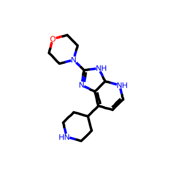 C1=CC(C2CCNCC2)=C2N=C(N3CCOCC3)NC2N1